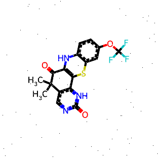 CC1(C)C(=O)C2=C(Sc3cc(OC(F)(F)F)ccc3N2)c2[nH]c(=O)ncc21